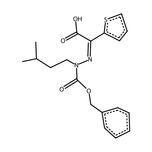 CC(C)CCN(N=C(C(=O)O)c1cccs1)C(=O)OCc1ccccc1